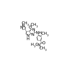 COc1nc(Nc2ccc(C(=O)N(C)C)cc2C)nc2[nH]cc(-c3cnn(C)c3)c12